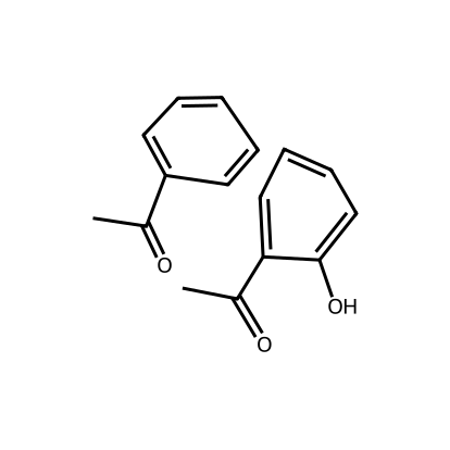 CC(=O)c1ccccc1.CC(=O)c1ccccc1O